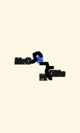 CCC(C)(CC(C)CCN1CCCC1COC)OC